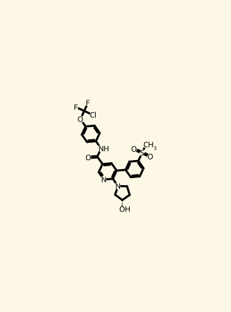 CS(=O)(=O)c1cccc(-c2cc(C(=O)Nc3ccc(OC(F)(F)Cl)cc3)cnc2N2CC[C@H](O)C2)c1